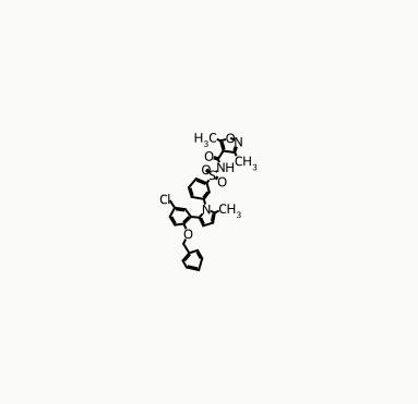 Cc1noc(C)c1C(=O)NS(=O)(=O)c1cccc(-n2c(C)ccc2-c2cc(Cl)ccc2OCc2ccccc2)c1